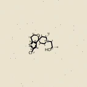 C[C@H](O)CN1CC[C@]2(C[C@@H]1C)OCCc1sc(Cl)cc12